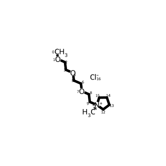 COCCOCCOCC[N+]1(C)CCCC1.[Cl-]